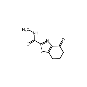 CNC(=O)c1nc2c(s1)CCCC2=O